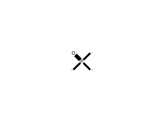 [CH]P([CH])([CH])=O